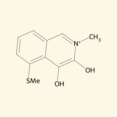 CSc1cccc2c[n+](C)c(O)c(O)c12